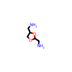 NCC1COC(CN)O1